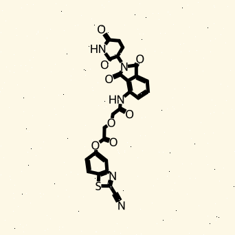 N#Cc1nc2cc(OC(=O)COCC(=O)Nc3cccc4c3C(=O)N(C3CCC(=O)NC3=O)C4=O)ccc2s1